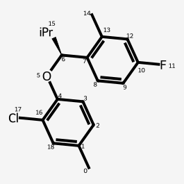 Cc1ccc(O[C@H](c2ccc(F)cc2C)C(C)C)c(Cl)c1